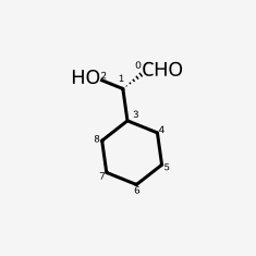 O=C[C@@H](O)C1CCCCC1